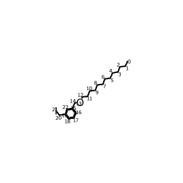 CCCCCCCCCCCCCOCc1cccc(CI)c1